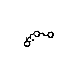 Cn1c(CN2CC=C(C=Cc3ccccc3)CC2)nc2ccccc21